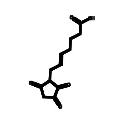 O=C(O)CCCC=CCC1C(=O)CC(=O)C1=O